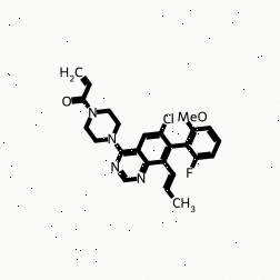 C=CC(=O)N1CCN(c2ncnc3c(/C=C/C)c(-c4c(F)cccc4OC)c(Cl)cc23)CC1